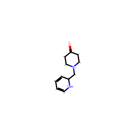 O=C1CCN(CC2C=CC=CN2)CC1